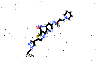 COCCn1cc(-c2cn3nc4c5ncc(NC(=O)CCN6CCCCC6)cc5[nH]c(=O)c4c3s2)cn1